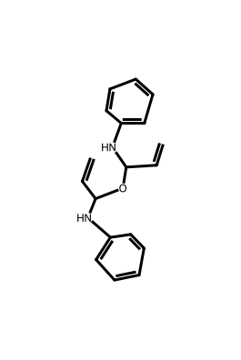 C=CC(Nc1ccccc1)OC(C=C)Nc1ccccc1